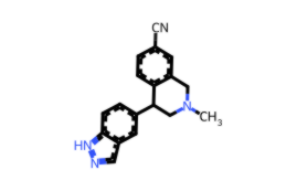 CN1Cc2cc(C#N)ccc2C(c2ccc3[nH]ncc3c2)C1